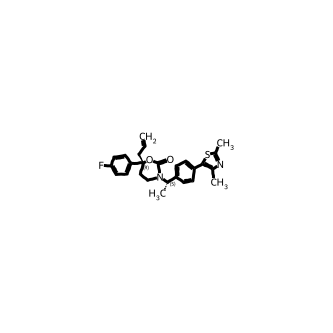 C=CC[C@]1(c2ccc(F)cc2)CCN([C@@H](C)c2ccc(-c3sc(C)nc3C)cc2)C(=O)O1